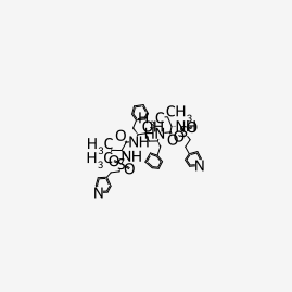 CC(C)[C@H](NS(=O)(=O)CCc1ccncc1)C(=O)N[C@@H](Cc1ccccc1)C[C@H](O)[C@H](Cc1ccccc1)NC(=O)[C@@H](NS(=O)(=O)CCc1ccncc1)C(C)C